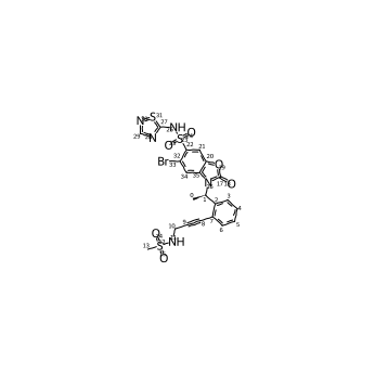 C[C@H](c1ccccc1C#CCNS(C)(=O)=O)n1c(=O)oc2cc(S(=O)(=O)Nc3ncns3)c(Br)cc21